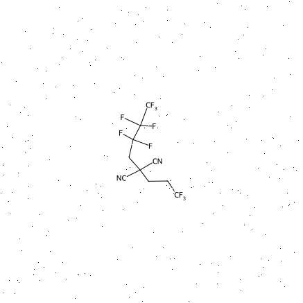 N#CC(C#N)(CCC(F)(F)F)CC(F)(F)C(F)(F)C(F)(F)F